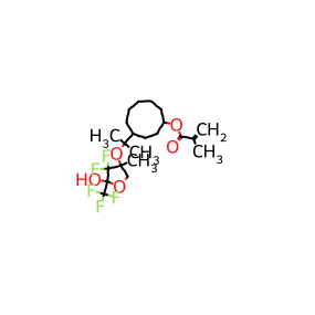 C=C(C)C(=O)OC1CCCCCC(C(C)(C)OC2(C)COC(O)(C(F)(F)F)C2(F)F)CC1